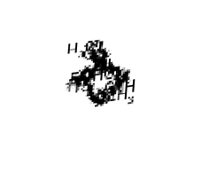 CC(=O)NC1CCN(CC(O)Cn2nc(-c3ccc(C(F)(F)F)c(SCCN4CCOCC4)c3)c3c2CCN(S(C)(=O)=O)C3)C1